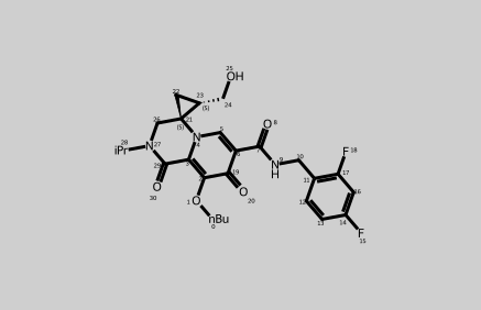 CCCCOc1c2n(cc(C(=O)NCc3ccc(F)cc3F)c1=O)[C@]1(C[C@@H]1CO)CN(C(C)C)C2=O